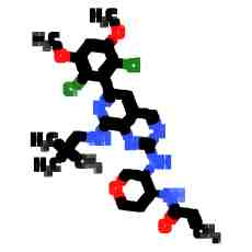 C=CC(=O)N[C@H]1CCOC[C@H]1Nc1ncc2cc(-c3c(Cl)c(OC)cc(OC)c3Cl)nc(NCC(C)(C)C)c2n1